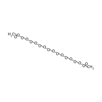 C=CC(=O)OCCOCCOCCOCCOCCOCCOCCOCCOCCOCCOCCOCCOCCOCCOCCOC(=O)C=C